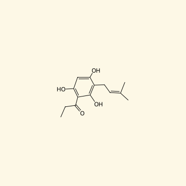 CCC(=O)c1c(O)cc(O)c(CC=C(C)C)c1O